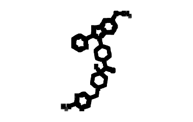 COc1ccc2c(c1)nc(-c1ccccn1)n2C1CCN(C(=O)C2(F)CCN(Cc3cnc(N)nc3)CC2)CC1